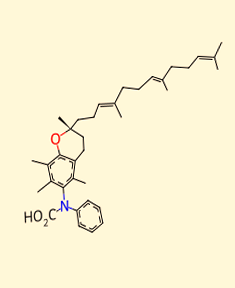 CC(C)=CCC/C(C)=C/CC/C(C)=C/CC[C@]1(C)CCc2c(C)c(N(C(=O)O)c3ccccc3)c(C)c(C)c2O1